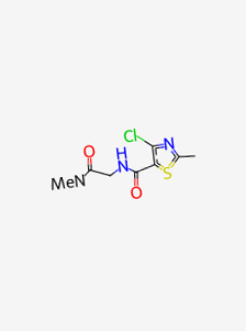 CNC(=O)CNC(=O)c1sc(C)nc1Cl